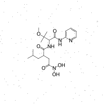 COC(C)(C)C(NC(=O)C(CC(=O)N(O)O)CC(C)C)C(=O)Nc1ccccn1